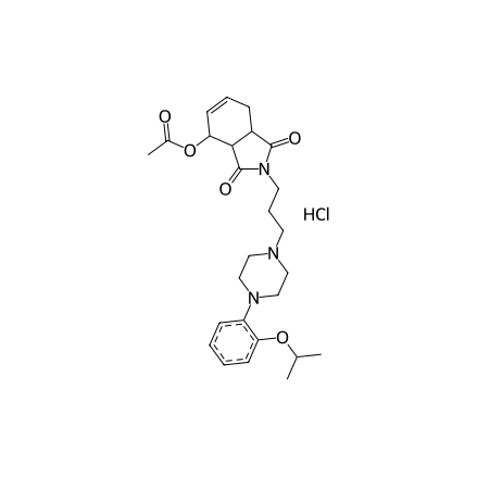 CC(=O)OC1C=CCC2C(=O)N(CCCN3CCN(c4ccccc4OC(C)C)CC3)C(=O)C12.Cl